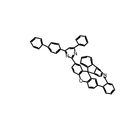 N#Cc1ccccc1-c1ccc2c(c1)C1(c3cc(-c4nc(-c5ccccc5)cc(-c5ccc(-c6ccccc6)cc5)n4)ccc3O2)c2ccccc2-c2ccccc21